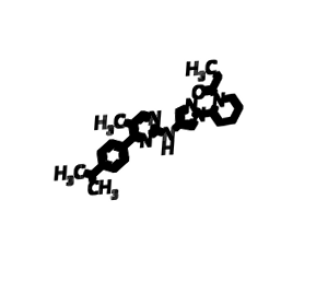 CCC(=O)N1CCCCC1n1cc(Nc2ncc(C)c(-c3ccc(C(C)C)cc3)n2)cn1